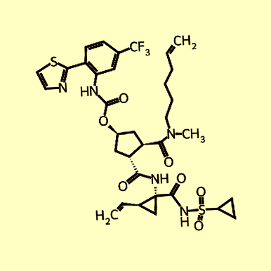 C=CCCCCN(C)C(=O)[C@@H]1C[C@H](OC(=O)Nc2cc(C(F)(F)F)ccc2-c2nccs2)C[C@H]1C(=O)N[C@]1(C(=O)NS(=O)(=O)C2CC2)C[C@H]1C=C